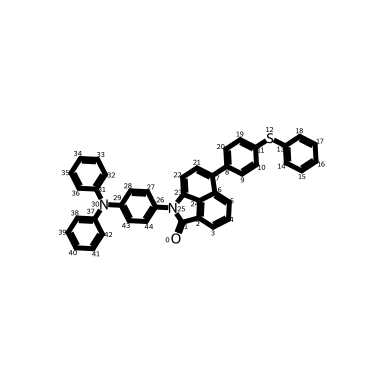 O=C1c2cccc3c(-c4ccc(Sc5ccccc5)cc4)ccc(c23)N1c1ccc(N(c2ccccc2)c2ccccc2)cc1